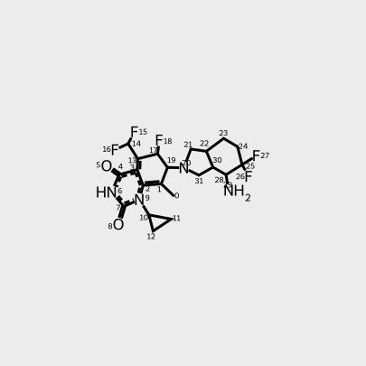 CC1=c2c(c(=O)[nH]c(=O)n2C2CC2)=C(C(F)F)C(F)C1N1CC2CCC(F)(F)C(N)C2C1